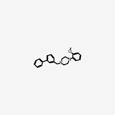 COc1ccccc1N1CCN(Cc2cccc(-c3ccccc3)c2)CC1